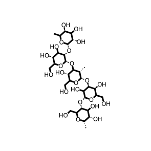 CC1O[C@@H](O[C@H]2C(O)[C@@H](O)C(CO)O[C@H]2OC2[C@@H](O)C(CO)O[C@@H](O[C@@H]3C(O)[C@@H](O[C@H]4C(CO)O[C@@H](C)[C@@H](O)C4O)OC(CO)[C@@H]3O)[C@H]2C)[C@@H](O)C(O)[C@@H]1O